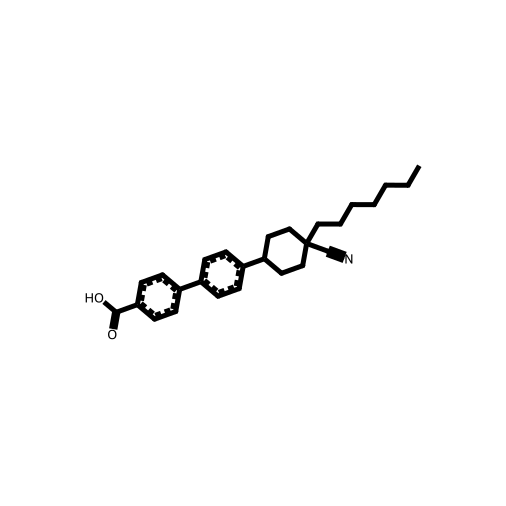 CCCCCCCC1(C#N)CCC(c2ccc(-c3ccc(C(=O)O)cc3)cc2)CC1